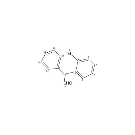 CCc1ccccc1C([C]=O)c1ccccc1